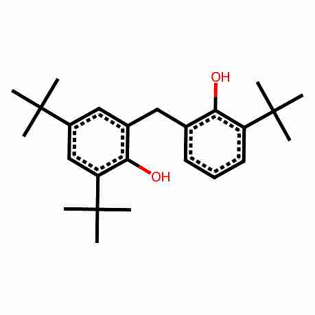 CC(C)(C)c1cc(Cc2cccc(C(C)(C)C)c2O)c(O)c(C(C)(C)C)c1